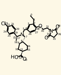 CCc1cc(CN(C[C@H]2CC[C@H](C(=O)O)CC2)[C@@H](C)c2ccc(Cl)cc2)ccc1OCCN1C(=O)CCC1=O